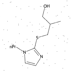 CCCn1ccnc1SCC(C)CO